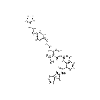 O=C(Nc1nc2ccccc2s1)c1cccc2c1CN(c1ccc(CCCOc3ccc(OCCN4CCCC4)cc3)c(C(=O)O)n1)CC2